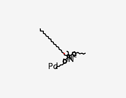 CCCCCCCCCCCCCCCCCCCCC1=C(c2ccc(CCCCC)cc2)[N+](=[N-])C(c2ccc(CCCCC)cc2)=C1CC.[Pd]